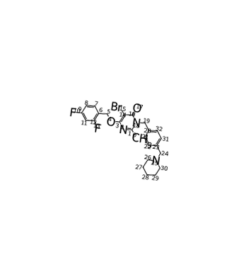 Cc1nc(OCc2ccc(F)cc2F)c(Br)c(=O)n1Cc1ccc(CN2CCCCC2)cc1